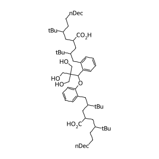 CCCCCCCCCCCCC(CC(CC(Cc1ccccc1OC(c1ccccc1CC(CC(CC(CCCCCCCCCCCC)C(C)(C)C)C(=O)O)C(C)(C)C)C(CO)(CO)CO)C(C)(C)C)C(=O)O)C(C)(C)C